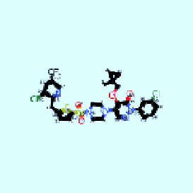 CC1(COc2c(N3CCN(S(=O)(=O)c4ccc(Cc5ncc(C(F)(F)F)cc5Cl)s4)CC3)cnn(-c3cccc(Cl)c3)c2=O)CC1